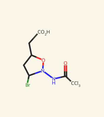 O=C(O)CC1CC(Br)N(NC(=O)C(Cl)(Cl)Cl)O1